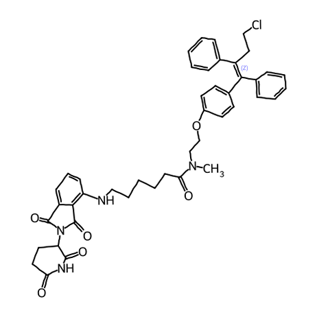 CN(CCOc1ccc(/C(=C(/CCCl)c2ccccc2)c2ccccc2)cc1)C(=O)CCCCCNc1cccc2c1C(=O)N(C1CCC(=O)NC1=O)C2=O